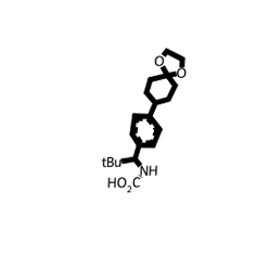 CC(C)(C)C(NC(=O)O)c1ccc(C2CCC3(CC2)OCCO3)cc1